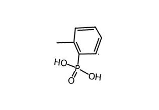 Cc1ccc[c]c1P(=O)(O)O